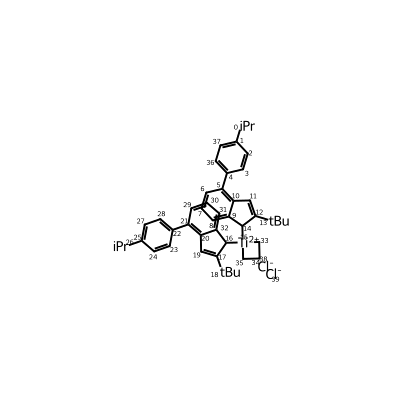 CC(C)c1ccc(-c2cccc3c2C=C(C(C)(C)C)[CH]3[Ti+2]2([CH]3C(C(C)(C)C)=Cc4c(-c5ccc(C(C)C)cc5)cccc43)[CH2]C[CH2]2)cc1.[Cl-].[Cl-]